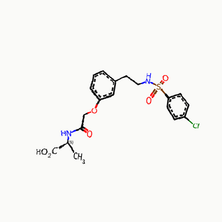 C[C@H](NC(=O)COc1cccc(CCNS(=O)(=O)c2ccc(Cl)cc2)c1)C(=O)O